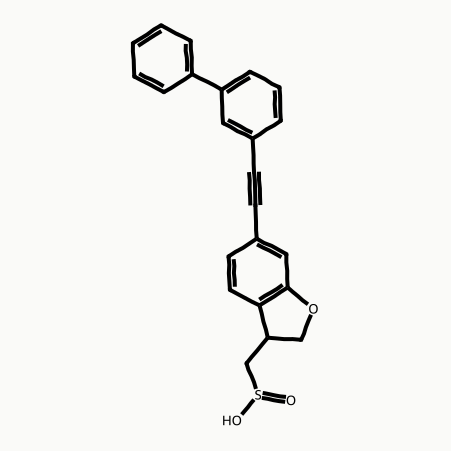 O=S(O)CC1COc2cc(C#Cc3cccc(-c4ccccc4)c3)ccc21